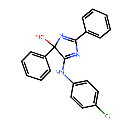 OC1(c2ccccc2)N=C(c2ccccc2)N=C1Nc1ccc(Cl)cc1